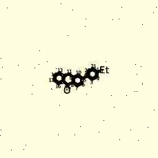 CCc1ccc(-c2ccc3c(c2)Cc2ccccc2C3=O)cc1